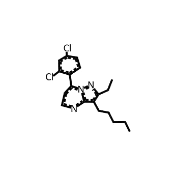 CCCCCc1c(CC)nn2c(-c3ccc(Cl)cc3Cl)ccnc12